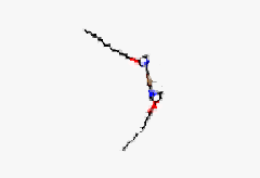 CCCCCCCCCCCCCCCOCOC1CCC(C)[SiH2]N(CCCSSCCCN2CCC(OCOCCCCCCCCCCCCCCC)CCC(C)[SiH2]2)CC1